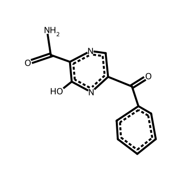 NC(=O)c1ncc(C(=O)c2ccccc2)nc1O